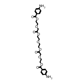 Nc1ccc(C(=O)OCCOCC(=O)OCCOCCOC(=O)COCCOC(=O)c2ccc(N)cc2)cc1